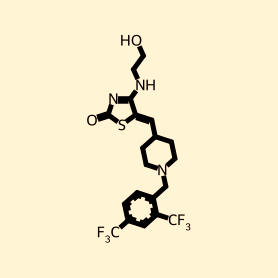 O=C1N=C(NCCO)/C(=C/C2CCN(Cc3ccc(C(F)(F)F)cc3C(F)(F)F)CC2)S1